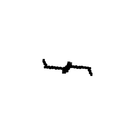 CCCCCC(C)CCCCCCCCCCCCOc1cc(CBr)c(OCCCCCCCCCCCCC(C)CCCCC)cc1CBr